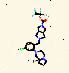 O=C(OC(F)(C(F)F)C(F)(F)F)N1CC2CN(Cc3ccc(Cl)cc3N3CCN4CCC[C@@H]4C3)CC2C1